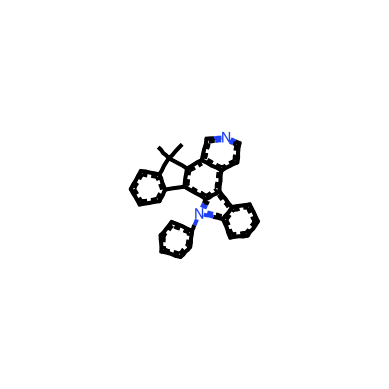 CC1(C)c2ccccc2-c2c1c1cnccc1c1c3ccccc3n(-c3ccccc3)c21